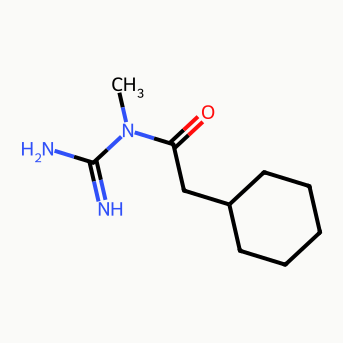 CN(C(=N)N)C(=O)CC1CCCCC1